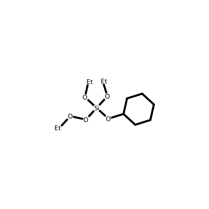 CCOO[Si](OCC)(OCC)OC1CCCCC1